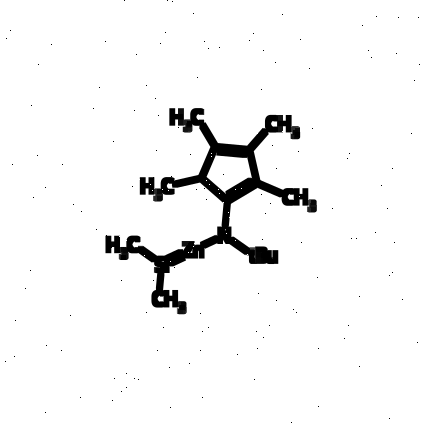 CC1=C(C)C(C)C([N]([Zn]=[Si](C)C)C(C)(C)C)=C1C